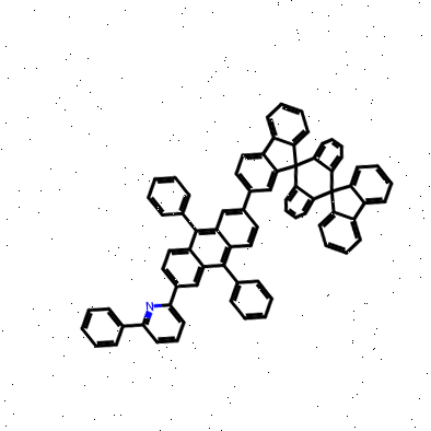 c1ccc(-c2cccc(-c3ccc4c(-c5ccccc5)c5cc(-c6ccc7c(c6)C6(c8ccccc8-7)c7ccccc7C7(c8ccccc8-c8ccccc87)c7ccccc76)ccc5c(-c5ccccc5)c4c3)n2)cc1